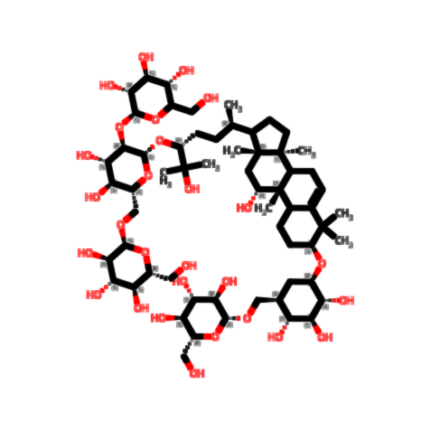 C[C@H](CC[C@@H](O[C@@H]1O[C@H](CO[C@H]2O[C@H](CO)[C@@H](O)[C@H](O)[C@H]2O)[C@@H](O)[C@H](O)[C@H]1O[C@@H]1OC(CO)[C@@H](O)[C@H](O)[C@H]1O)C(C)(C)O)C1CC[C@@]2(C)C3CC=C4C(CC[C@H](O[C@@H]5C[C@H](CO[C@@H]6O[C@H](CO)[C@@H](O)[C@H](O)[C@H]6O)[C@@H](O)[C@H](O)[C@H]5O)C4(C)C)[C@]3(C)[C@H](O)C[C@]12C